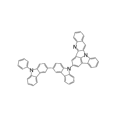 c1ccc(-n2c3ccccc3c3cc(-c4ccc5c(c4)c4ccccc4n5-c4cc5c6ccccc6n6c7cc8ccccc8nc7c(c4)c56)ccc32)cc1